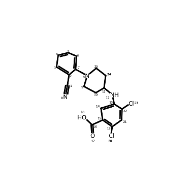 N#Cc1ccccc1N1CCC(Nc2cc(C(=O)O)c(Cl)cc2Cl)CC1